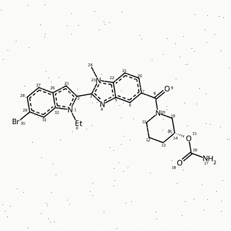 CCn1c(-c2nc3cc(C(=O)N4CCC[C@@H](OC(N)=O)C4)ccc3n2C)cc2ccc(Br)cc21